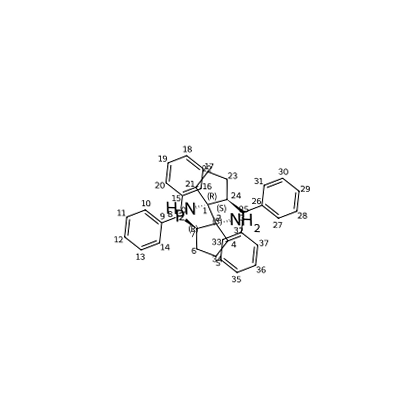 N[C@]1([C@@]2(N)CCC[C@H]2P(c2ccccc2)c2ccccc2)CCC[C@H]1C(c1ccccc1)c1ccccc1